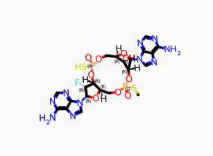 CS[P@@]1(=O)OC[C@H]2O[C@@H](n3cnc4c(N)ncnc43)[C@H](F)[C@@H]2O[P@](=O)(S)OC[C@H]2O[C@@H](n3cnc4c(N)ncnc43)[C@H](O1)[C@@H]2O